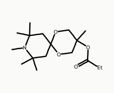 CCC(=O)OC1(C)COC2(CC(C)(C)N(C)C(C)(C)C2)OC1